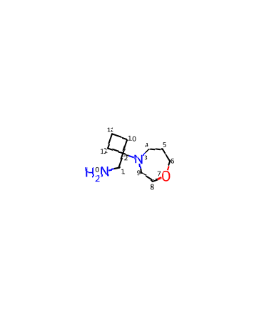 NCC1(N2CCCOCC2)CCC1